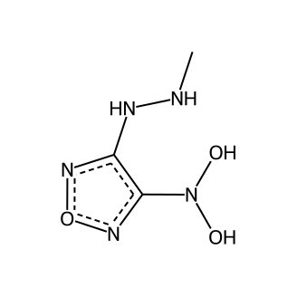 CNNc1nonc1N(O)O